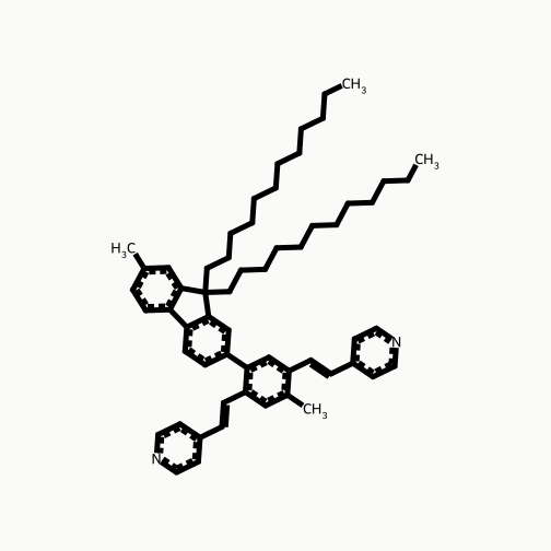 CCCCCCCCCCCCC1(CCCCCCCCCCCC)c2cc(C)ccc2-c2ccc(-c3cc(/C=C/c4ccncc4)c(C)cc3/C=C/c3ccncc3)cc21